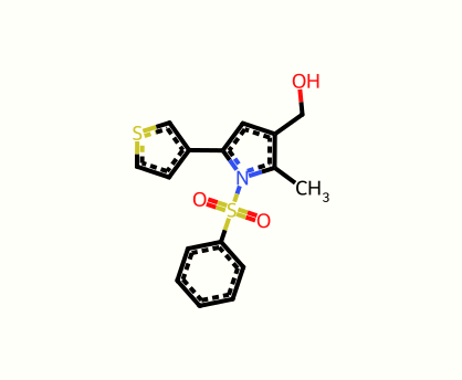 Cc1c(CO)cc(-c2ccsc2)n1S(=O)(=O)c1ccccc1